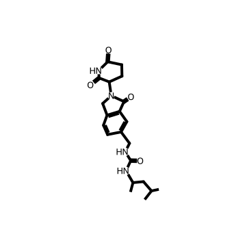 CC(C)CC(C)NC(=O)NCc1ccc2c(c1)C(=O)N(C1CCC(=O)NC1=O)C2